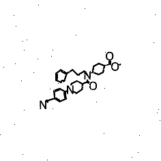 COC(=O)[C@H]1CC[C@H](N(CCCc2ccccc2)C(=O)C2CCN(c3ccc(C#N)cc3)CC2)CC1